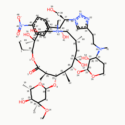 CC[C@H]1OC(=O)[C@H](C)[C@@H](O[C@H]2C[C@@](C)(OC)[C@@H](O)[C@H](C)O2)[C@H](C)[C@@H](O[C@@H]2OCC[C@H](N(C)CCc3cn([C@H](CO)[C@H](O)c4ccc([N+](=O)[O-])cc4)nn3)[C@H]2O)[C@](C)(O)C[C@@H](C)CN(C)[C@H](C)[C@@H](O)[C@]1(C)O